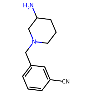 N#Cc1cccc(CN2CCCC(N)C2)c1